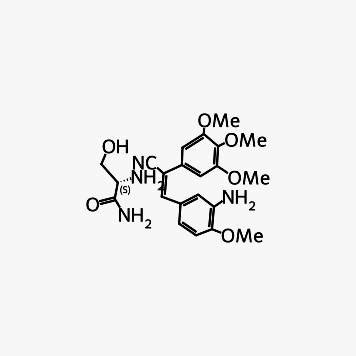 COc1ccc(C=C(C#N)c2cc(OC)c(OC)c(OC)c2)cc1N.NC(=O)[C@@H](N)CO